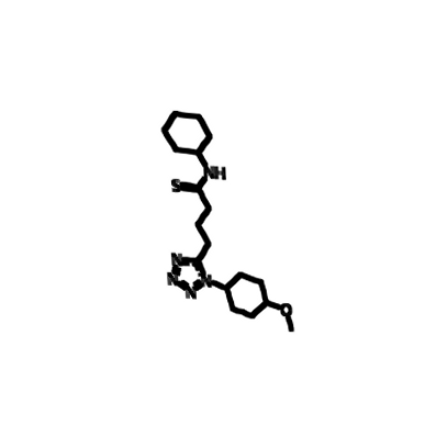 COC1CCC(n2nnnc2CCCC(=S)NC2CCCCC2)CC1